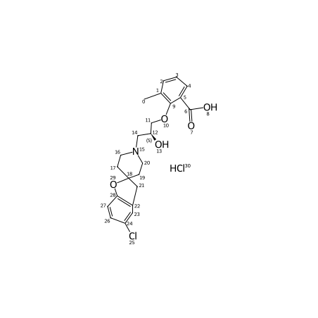 Cc1cccc(C(=O)O)c1OC[C@@H](O)CN1CCC2(CC1)Cc1cc(Cl)ccc1O2.Cl